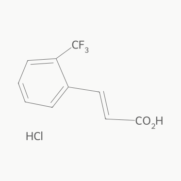 Cl.O=C(O)C=Cc1ccccc1C(F)(F)F